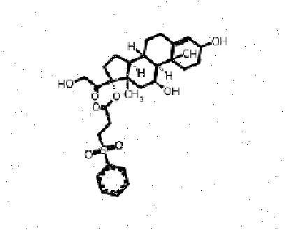 C[C@]12CCC(O)C=C1CC[C@@H]1[C@@H]2[C@@H](O)C[C@@]2(C)[C@H]1CC[C@]2(OC(=O)CCS(=O)(=O)c1ccccc1)C(=O)CO